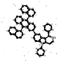 C1=Cc2c(c3cc(-c4ccc5c(-c6cccc7ccccc67)c6ccccc6c(-c6cccc7ccccc67)c5c4)ccc3n2-c2ccccc2)C(c2ccccc2)N1